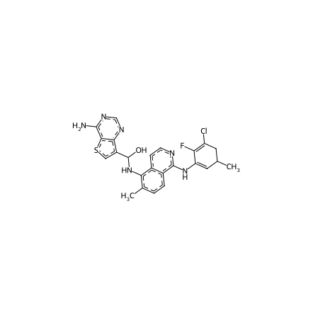 Cc1ccc2c(NC3=CC(C)CC(Cl)=C3F)nccc2c1NC(O)c1csc2c(N)ncnc12